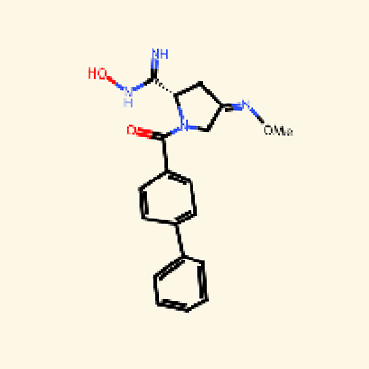 CON=C1C[C@@H](C(=N)NO)N(C(=O)c2ccc(-c3ccccc3)cc2)C1